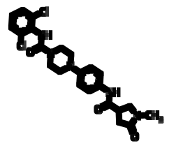 CN1CC(C(=O)Nc2ccc(N3CCN(C(=O)Nc4c(Cl)cccc4Cl)CC3)cc2)CC1=O